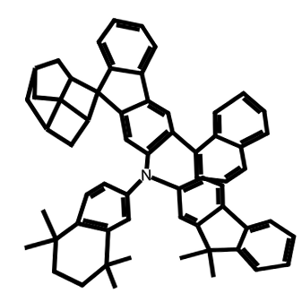 CC1(C)CCC(C)(C)c2cc(N(c3ccc4c(c3)C(C)(C)c3ccccc3-4)c3cc4c(cc3-c3cccc5ccccc35)-c3ccccc3C43C4CC5CC6CC3C64C5)ccc21